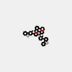 CC1Cc2c(oc3c2C=CCC3)C=C1c1ccc(N(c2ccccc2-c2cccc3cccc(C4CCCCC4)c23)C2C=CC=C(c3cccc4oc5ccccc5c34)C2C)cc1